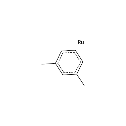 Cc1cccc(C)c1.[Ru]